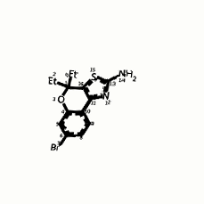 CCC1(CC)Oc2cc(Br)ccc2-c2nc(N)sc21